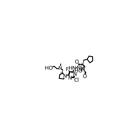 CN(CCO)C[C@@H]1CCCN1c1nc(Cl)nc(NNC(=O)[C@@H](CC2CCCC2)CN(O)C=O)c1F